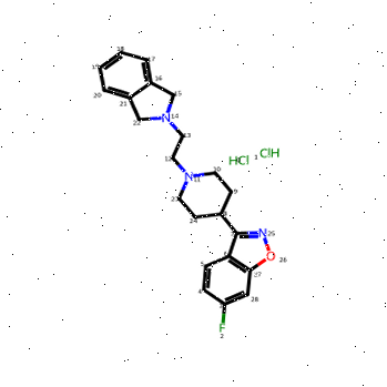 Cl.Cl.Fc1ccc2c(C3CCN(CCN4Cc5ccccc5C4)CC3)noc2c1